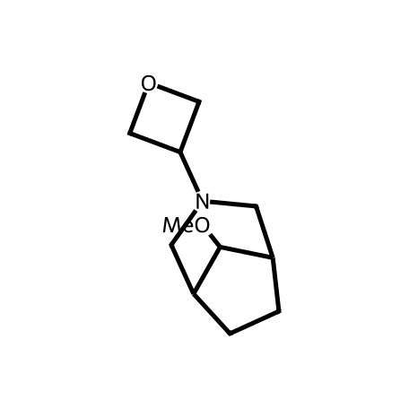 COC1C2CCC1CN(C1COC1)C2